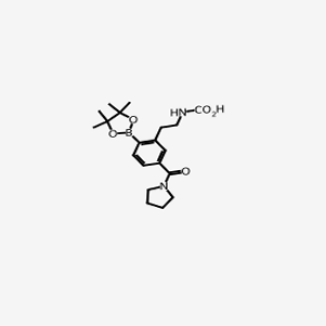 CC1(C)OB(c2ccc(C(=O)N3CCCC3)cc2CCNC(=O)O)OC1(C)C